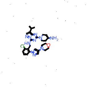 CC(C)c1cnn2c(NCc3c(Cl)cccc3-n3cc(N4CCOCC4)cn3)nc(N3CCC(N)CC3)nc12